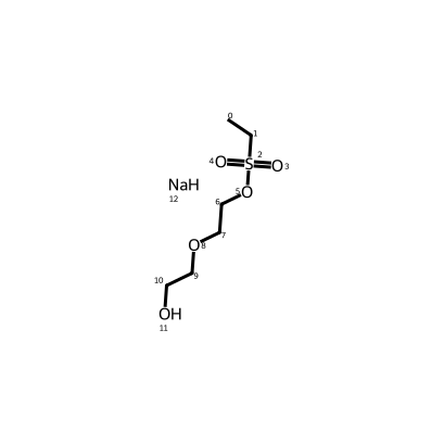 CCS(=O)(=O)OCCOCCO.[NaH]